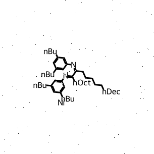 CCCCCCCCCCCCCCCC(=Nc1cc(CCCC)cc(CCCC)c1)C(CCCCCCCC)=Nc1cc(CCCC)cc(CCCC)c1.[Ni]